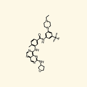 CCN1CCN(c2cc(NC(=O)c3ccc(C)c(Nc4ncnc5cnc(NC6CCOC6)nc45)c3)cc(C(F)(F)F)c2)CC1